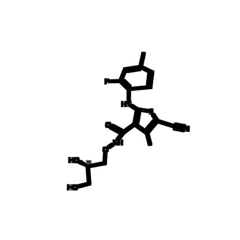 Cc1ccc(Nc2sc(C#N)c(C)c2C(=O)NOC[C@H](O)CO)c(F)c1